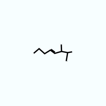 [CH2]C(C)C(C)C=CCCC